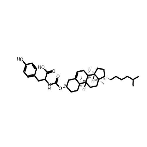 CC(C)CCCC[C@H]1CC[C@H]2[C@@H]3CC=C4C[C@@H](OC(=O)NC(Cc5ccc(O)cc5)C(=O)O)CC[C@]4(C)[C@H]3CC[C@]12C